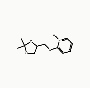 CC1(C)OCC(COc2cccc[n+]2[O-])O1